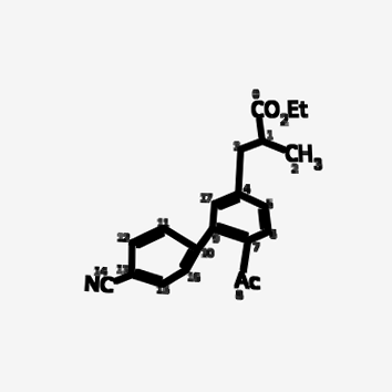 CCOC(=O)C(C)Cc1ccc(C(C)=O)c(-c2ccc(C#N)cc2)c1